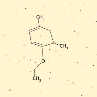 CCOC1=CC=C(C)CC1C